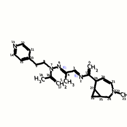 C=C(/N=C/C(C)=N/N(CCc1ccncc1)C(=C)C)C1C=CN(C)CC2CC21